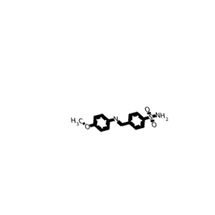 COc1ccc(N=Cc2ccc(S(N)(=O)=O)cc2)cc1